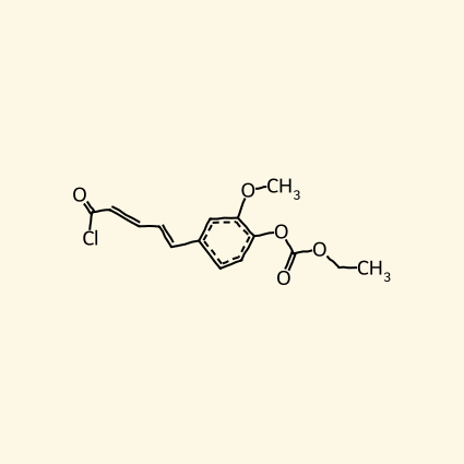 CCOC(=O)Oc1ccc(C=CC=CC(=O)Cl)cc1OC